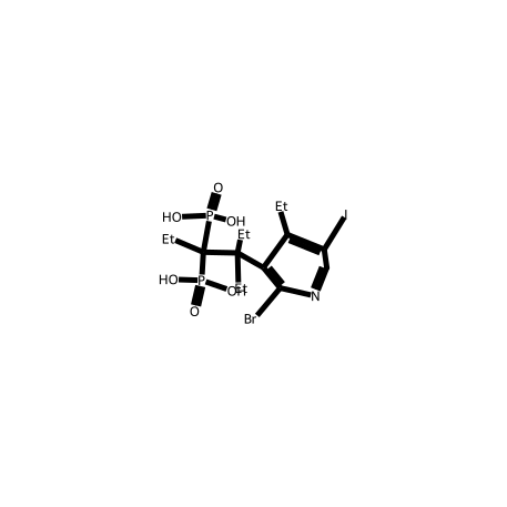 CCc1c(I)cnc(Br)c1C(CC)(CC)C(CC)(P(=O)(O)O)P(=O)(O)O